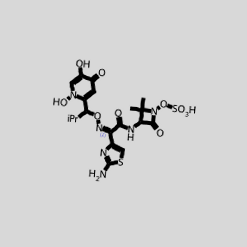 CC(C)C(O/N=C(\C(=O)NC1C(=O)N(OS(=O)(=O)O)C1(C)C)c1csc(N)n1)c1cc(=O)c(O)cn1O